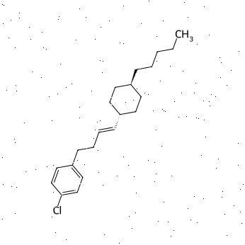 CCCCC[C@H]1CC[C@H](C=CCCc2ccc(Cl)cc2)CC1